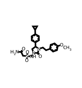 COc1ccc(CCN2C(=O)N(NS(=O)(=O)CC(N)=O)CC2c2ccc(C3CC3)cc2)cc1